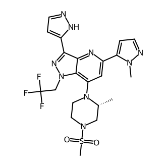 C[C@@H]1CN(S(C)(=O)=O)CCN1c1cc(-c2ccnn2C)nc2c(-c3ccn[nH]3)nn(CC(F)(F)F)c12